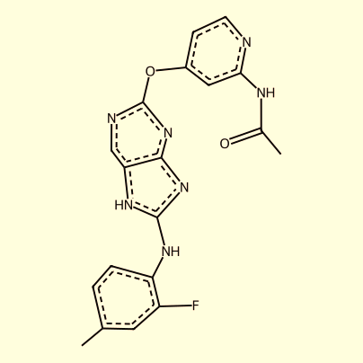 CC(=O)Nc1cc(Oc2ncc3[nH]c(Nc4ccc(C)cc4F)nc3n2)ccn1